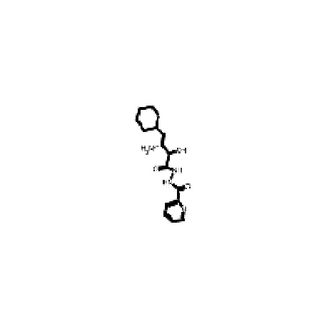 N[C@H](CC1CCCCC1)C(O)C(=O)NNC(=O)c1ccccn1